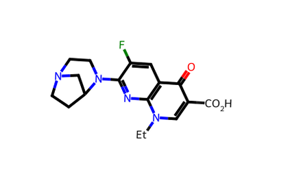 CCn1cc(C(=O)O)c(=O)c2cc(F)c(N3CCN4CCC3C4)nc21